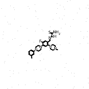 Cc1cccc(N2CCN(c3cc(N4CCN(C)CC4)c(C=NNC(N)=S)cc3F)CC2)c1